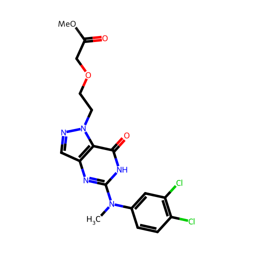 COC(=O)COCCn1ncc2nc(N(C)c3ccc(Cl)c(Cl)c3)[nH]c(=O)c21